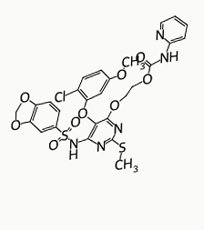 COc1ccc(Cl)c(Oc2c(NS(=O)(=O)c3ccc4c(c3)OCO4)nc(SC)nc2OCCOC(=O)Nc2ccccn2)c1